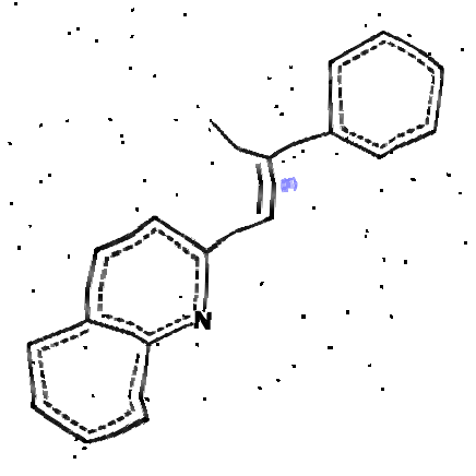 C/C(=C\c1ccc2ccccc2n1)c1ccccc1